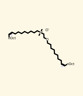 CCCCCCCC/C=C\CCCCCCCCOCC[N+](C)(C)CCCCCCCC/C=C\CCCCCCCC.[Cl-]